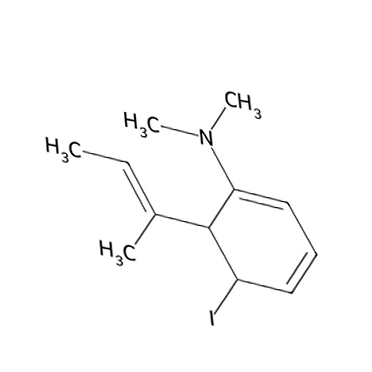 C/C=C(\C)C1C(N(C)C)=CC=CC1I